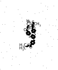 CC(C)COC(=O)c1ccc(Sc2cc(Sc3ccc(C(=O)OCC(C)C)cc3)cc(Sc3ccc(C(=O)OCC(C)C)cc3)c2)cc1